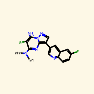 CCCN(CCC)c1nc2c(-c3cnc4ccc(F)cc4c3)cnn2c(N)c1Br